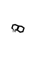 C1CCC2=C(C1)CCC[N]2